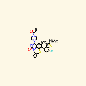 C=CC(=O)N1CCN(c2nc(=O)n3c4c(c(-c5ccc(F)c6sc(NC)c(C#N)c56)c(C(F)(F)F)cc24)SCC2(CCC2)C3)CC1